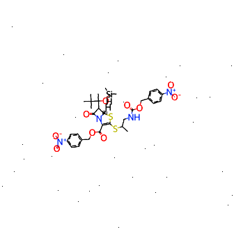 CC(CNC(=O)OCc1ccc([N+](=O)[O-])cc1)SC1=C(C(=O)OCc2ccc([N+](=O)[O-])cc2)N2C(=O)C(C(C)(O[SiH](C)C)C(C)(C)C)[C@H]2S1